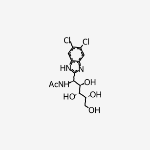 CC(=O)N[C@@H](c1nc2cc(Cl)c(Cl)cc2[nH]1)[C@@H](O)[C@@H](O)[C@H](O)CO